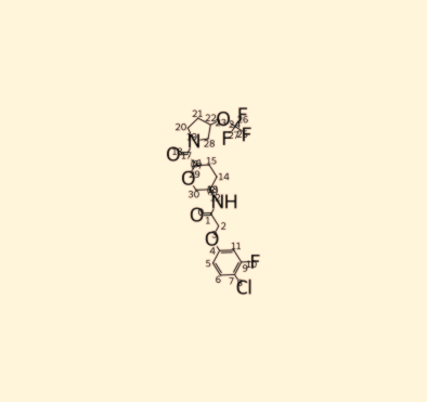 O=C(COc1ccc(Cl)c(F)c1)N[C@@H]1CC[C@@H](C(=O)N2CCC(OC(F)(F)F)C2)OC1